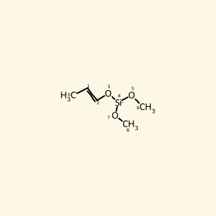 CC=CO[Si](OC)OC